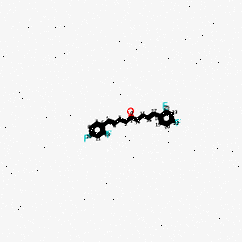 O=C(CCC=Cc1ccc(F)cc1F)CCC=Cc1ccc(F)cc1F